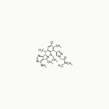 CCOc1c(C(C)C2N=C(C)c3c(N)ncnc32)cc(Cl)c(C)c1-c1cnn(CC(=O)N(C)C)c1